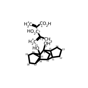 C=C(C)C(=O)O.C=CC(=O)O.OC12CC(C3CCCC31)C1C3CCC(C3)C12O